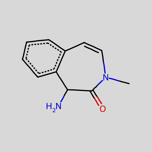 CN1C=Cc2ccccc2C(N)C1=O